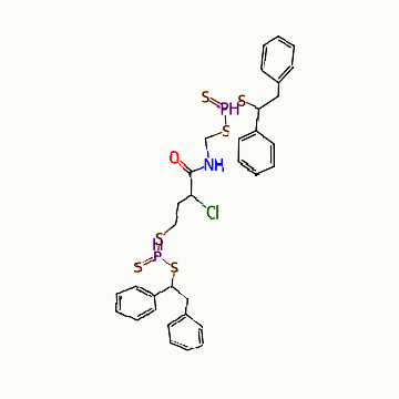 O=C(NCS[PH](=S)SC(Cc1ccccc1)c1ccccc1)C(Cl)CCS[PH](=S)SC(Cc1ccccc1)c1ccccc1